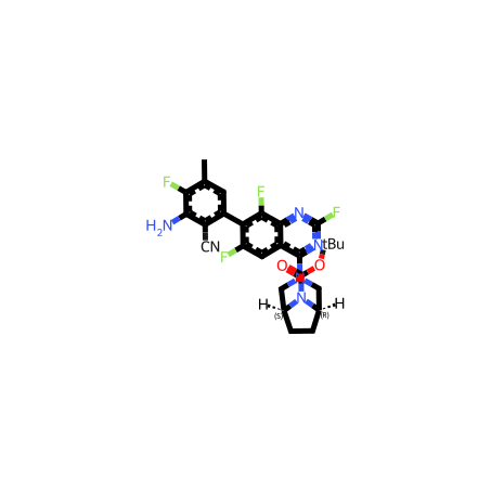 Cc1cc(-c2c(F)cc3c(N4C[C@H]5CC[C@@H](C4)N5C(=O)OC(C)(C)C)nc(F)nc3c2F)c(C#N)c(N)c1F